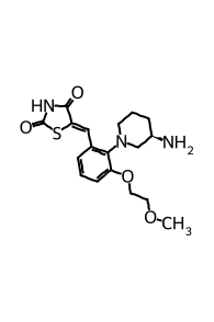 COCCOc1cccc(/C=C2\SC(=O)NC2=O)c1N1CCC[C@@H](N)C1